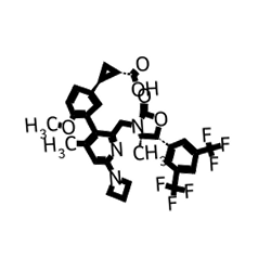 COc1ccc([C@H]2C[C@@H]2C(=O)O)cc1-c1c(C)cc(N2CCC2)nc1CN1C(=O)O[C@H](c2cc(C(F)(F)F)cc(C(F)(F)F)c2)[C@@H]1C